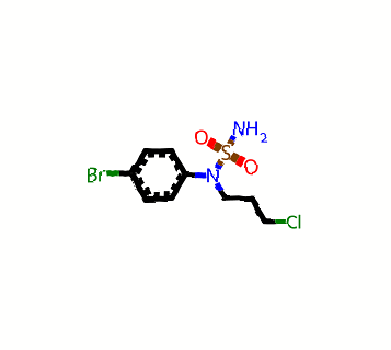 NS(=O)(=O)N(CCCCl)c1ccc(Br)cc1